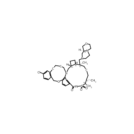 C[C@@H]1[C@@H](C)CCC[C@](C)(CN2CCN3CCOC[C@@H]3C2)[C@@H]2CC[C@H]2CN2CCCCc3cc(Cl)ccc3COc3ccc(cc32)C(=O)NS1(=O)=O